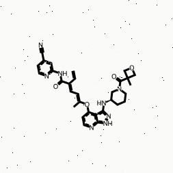 C=C/C(=C\C=C(/C)Oc1ccnc2[nH]nc(N[C@@H]3CCCN(C(=O)C4(C)COC4)C3)c12)C(=O)Nc1cc(C#N)ccn1